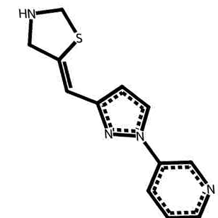 C(=C1\CNCS1)/c1ccn(-c2cccnc2)n1